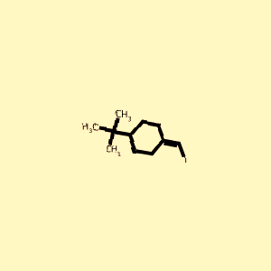 CC(C)(C)C1CCC(=CI)CC1